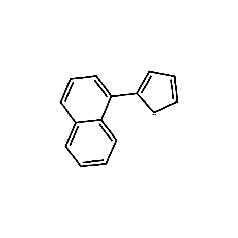 [C]1C=CC=C1c1cccc2ccccc12